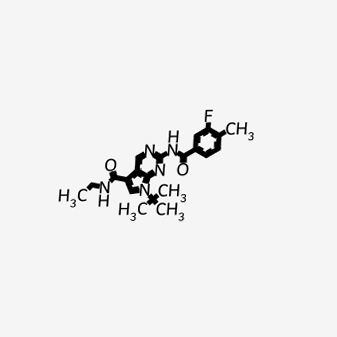 CCNC(=O)c1cn(C(C)(C)C)c2nc(NC(=O)c3ccc(C)c(F)c3)ncc12